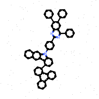 c1ccc(-c2cc3nc(-c4ccc(-n5c6cc7ccccc7cc6c6c(-c7cccc8c9ccccc9c9ccccc9c78)cccc65)cc4)nc(-c4ccccc4)c3cc2-c2ccccc2)cc1